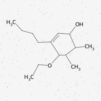 CCCCC1=CC(O)C(C)C(C)C1OCC